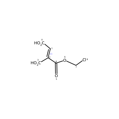 O=C(O)/C=C(\C(=O)O)C(=O)OCCl